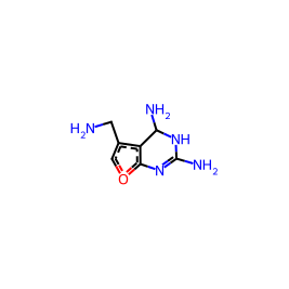 NCc1coc2c1C(N)NC(N)=N2